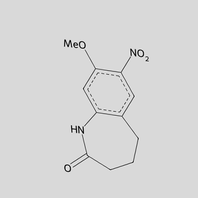 COc1cc2c(cc1[N+](=O)[O-])CCCC(=O)N2